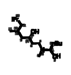 CCCCC(O)N(C)CC[C@@H](O)C[C@@H](C)CC(C)C